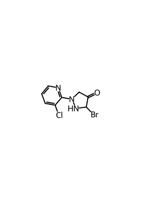 O=C1CN(c2ncccc2Cl)NC1Br